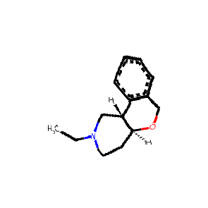 CCN1CC[C@@H]2OCc3ccccc3[C@H]2C1